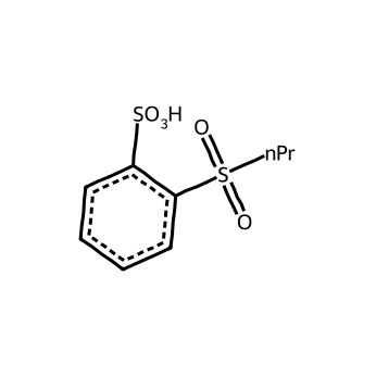 CCCS(=O)(=O)c1ccccc1S(=O)(=O)O